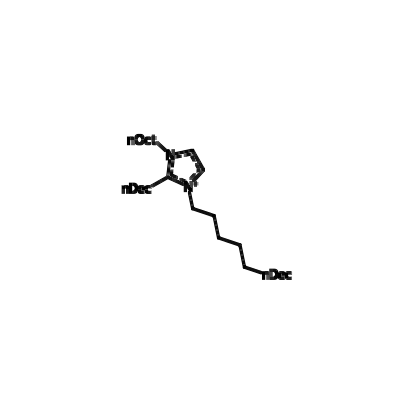 CCCCCCCCCCCCCCC[n+]1ccn(CCCCCCCC)c1CCCCCCCCCC